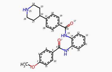 COc1ccc(C(=O)Nc2ccccc2NC(=O)c2ccc(C3CCNCC3)cc2)cc1